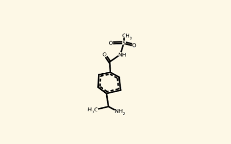 CC(N)c1ccc(C(=O)NS(C)(=O)=O)cc1